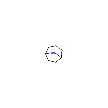 C1CC2CCC(CN2)O1